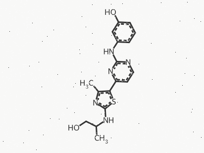 Cc1nc(NC(C)CO)sc1-c1ccnc(Nc2cccc(O)c2)n1